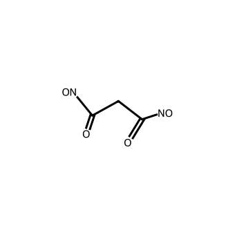 O=NC(=O)CC(=O)N=O